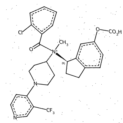 C[N+](C(=O)c1ccccc1Cl)(C1CCN(c2ccncc2C(F)(F)F)CC1)[C@@H]1CCc2ccc(OC(=O)O)cc21